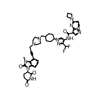 Cn1c(=O)n(C2CCC(=O)NC2=O)c2cccc(C#CCN3CCN(CC4CCC(n5cc(NC(=O)c6cnn7ccc(N8CCC8)nc67)c(C(F)F)n5)CC4)CC3)c21